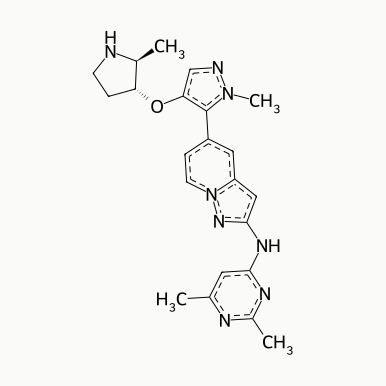 Cc1cc(Nc2cc3cc(-c4c(O[C@@H]5CCN[C@H]5C)cnn4C)ccn3n2)nc(C)n1